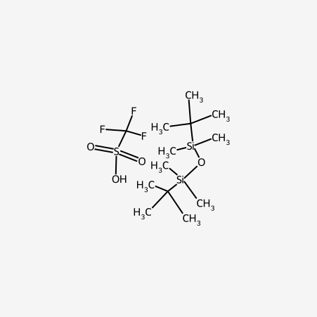 CC(C)(C)[Si](C)(C)O[Si](C)(C)C(C)(C)C.O=S(=O)(O)C(F)(F)F